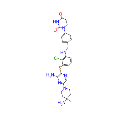 CC1(N)CCN(c2cnc(Sc3cccc(NCc4ccc(N5CCC(=O)NC5=O)cc4)c3Cl)c(N)n2)CC1